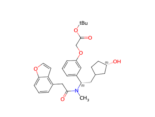 CN(C(=O)Cc1cccc2occc12)[C@@H](CC1CC[C@H](O)C1)c1cccc(OCC(=O)OC(C)(C)C)c1